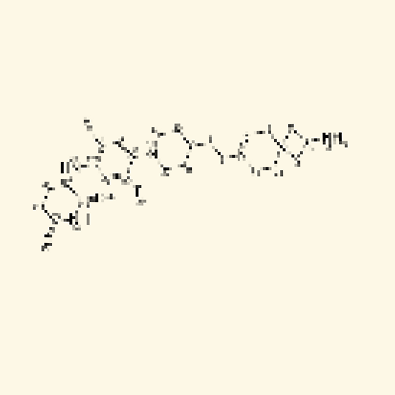 NC1CC2(CCN(CCC3CCN(c4cc(F)c(NC5CCC(=O)NC5=O)cc4F)CC3)CC2)C1